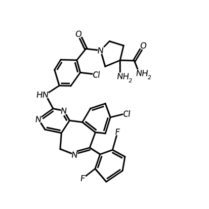 NC(=O)C1(N)CCN(C(=O)c2ccc(Nc3ncc4c(n3)-c3ccc(Cl)cc3C(c3c(F)cccc3F)=NC4)cc2Cl)C1